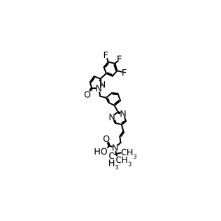 CC(C)(C)N(CC=Cc1cnc(-c2cccc(Cn3nc(-c4cc(F)c(F)c(F)c4)ccc3=O)c2)nc1)C(=O)O